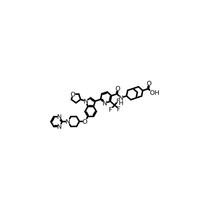 O=C(NC1CC2CC(C1)CC(C(=O)O)C2)c1ccc(-c2cn(C3CCOC3)c3cc(OC4CCN(c5ncccn5)CC4)ccc23)nc1C(F)(F)F